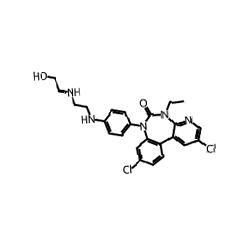 CCN1C(=O)N(c2ccc(NCCNCCO)cc2)c2cc(Cl)ccc2-c2cc(Cl)cnc21